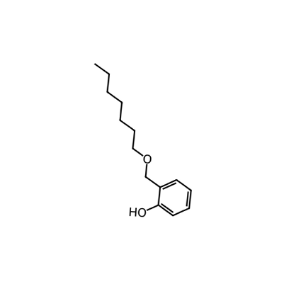 CCCCCCCOCc1ccccc1O